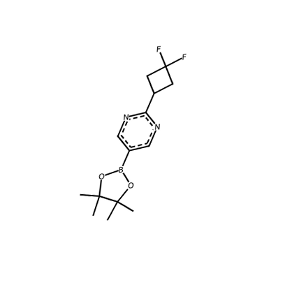 CC1(C)OB(c2cnc(C3CC(F)(F)C3)nc2)OC1(C)C